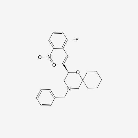 O=[N+]([O-])c1cccc(F)c1C=C[C@@H]1CN(Cc2ccccc2)CC2(CCCCC2)O1